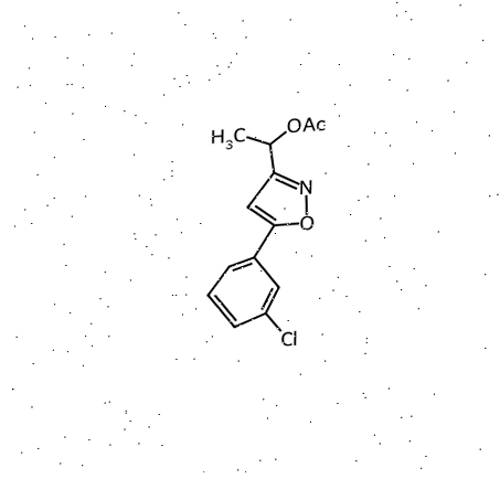 CC(=O)OC(C)c1cc(-c2cccc(Cl)c2)on1